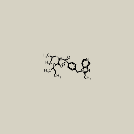 CCC(C)OC(=O)[C@H](CC(C)C)NS(=O)(=O)c1ccc(Cn2c(C)nc3cnccc32)cc1